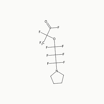 O=C(F)C(F)(OC(F)(F)C(F)(F)C(F)(F)N1CCCC1)C(F)(F)F